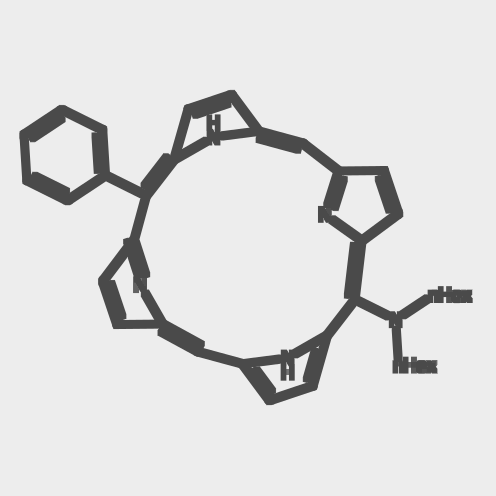 CCCCCCN(CCCCCC)c1c2nc(cc3ccc([nH]3)c(-c3ccccc3)c3nc(cc4ccc1[nH]4)C=C3)C=C2